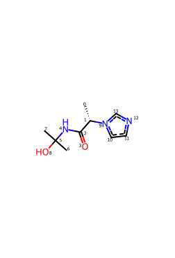 C[C@@H](C(=O)NC(C)(C)O)n1ccnc1